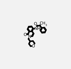 CC(C(=O)Nc1cccc2c(=O)n(CC3CCOCC3)ccc12)c1ccccc1